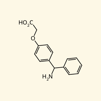 NC(c1ccccc1)c1ccc(OCC(=O)O)cc1